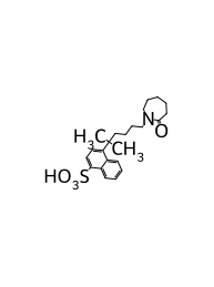 CC(C)(CCCCN1CCCCCC1=O)c1ccc(S(=O)(=O)O)c2ccccc12